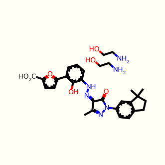 CC1=NN(c2ccc3c(c2)C(C)(C)CC3)C(=O)C1=NNc1cccc(-c2ccc(C(=O)O)o2)c1O.NCCO.NCCO